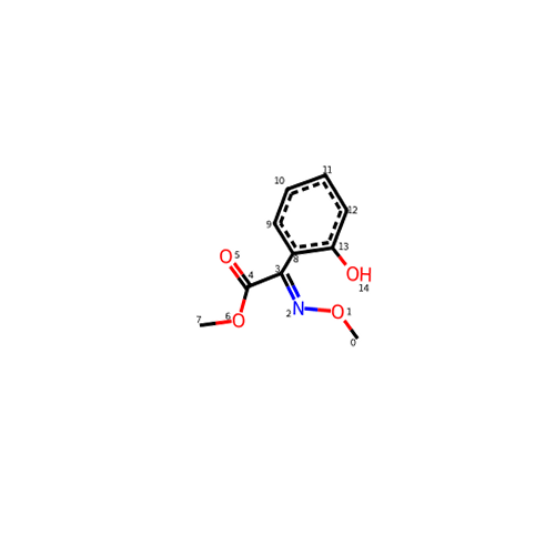 CO/N=C(/C(=O)OC)c1ccccc1O